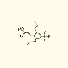 CCCc1cc(C(F)(F)F)cc(CCC)c1C=CC(=O)O